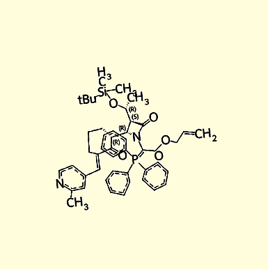 C=CCOC(=O)C(N1C(=O)[C@H]([C@@H](C)O[Si](C)(C)C(C)(C)C)[C@H]1[C@H]1CCCC(=Cc2ccnc(C)c2)C1=O)=P(c1ccccc1)(c1ccccc1)c1ccccc1